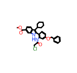 COC(=O)c1ccc2c(C3CCCCC3)c(-c3ccc(OCc4ccccc4)cc3NC(=O)CCl)[nH]c2c1